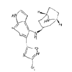 Cc1noc(-c2cnc3[nH]ccc3c2N[C@@H]2C[C@H]3CC[C@@H](C2)N3)n1